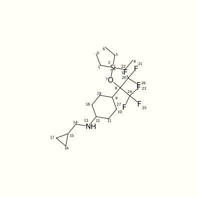 CC[Si](CC)(CC)OC(C1CCC(NCC2CC2)CC1)(C(F)(F)F)C(F)(F)F